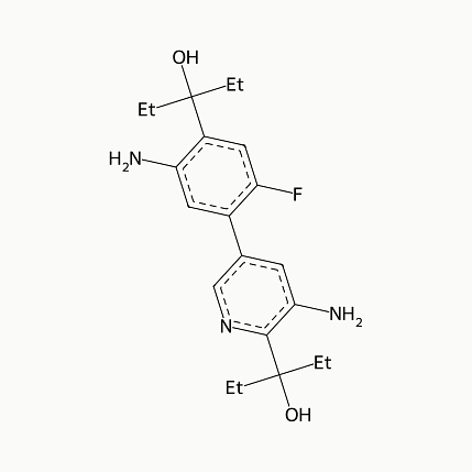 CCC(O)(CC)c1cc(F)c(-c2cnc(C(O)(CC)CC)c(N)c2)cc1N